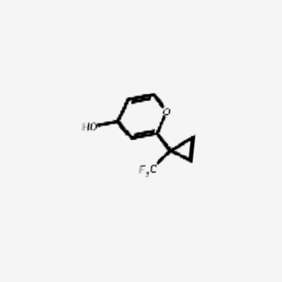 OC1C=COC(C2(C(F)(F)F)CC2)=C1